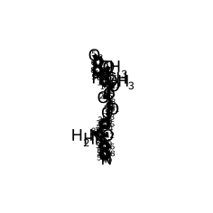 C[C@]12CCC(=O)C=C1CC[C@@H]1C2C(=O)C[C@@]2(C)[C@H]1CC[C@]2(O)C(=O)COC(=O)CCC(=O)OCc1ccc([C@@H](CN)C(=O)Nc2ccc3cnccc3c2)cc1